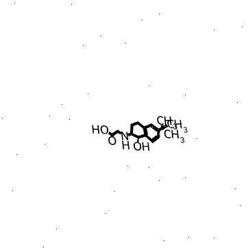 CC(C)(C)c1ccc2c(c1)CCC(NCC(=O)O)[C@@H]2O